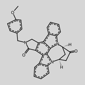 COc1ccc(CN2Cc3c(c4c5ccccc5n5c4c4c3c3ccccc3n4[C@@H]3C[C@H]5CC3=O)C2=O)cc1